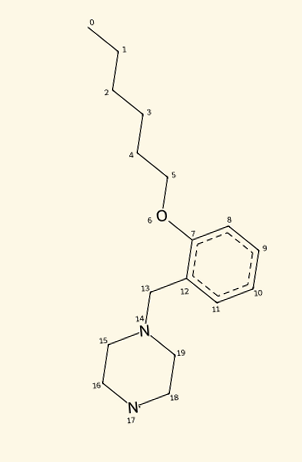 CCCCCCOc1ccccc1CN1CC[N]CC1